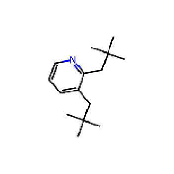 CC(C)(C)Cc1cccnc1CC(C)(C)C